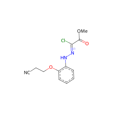 COC(=O)/C(Cl)=N/Nc1ccccc1OCCC#N